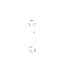 NCc1cccc2c1NC(=O)C(CN1CCC3(CCc4ccccc43)CC1)C2